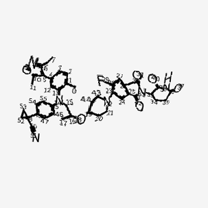 Cc1ccc(-c2c(C)noc2C)cc1N(CC(C)OC1CCN(c2cc3c(cc2F)C(=O)N(C2CCC(=O)NC2=O)C3=O)CC1)c1ccc(C2(C#N)CC2)cc1